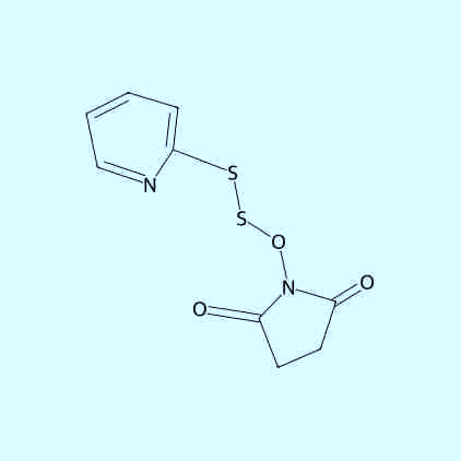 O=C1CCC(=O)N1OSSc1ccccn1